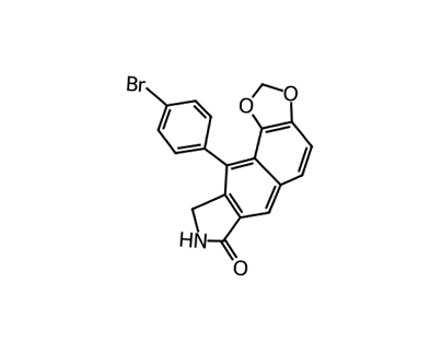 O=C1NCc2c1cc1ccc3c(c1c2-c1ccc(Br)cc1)OCO3